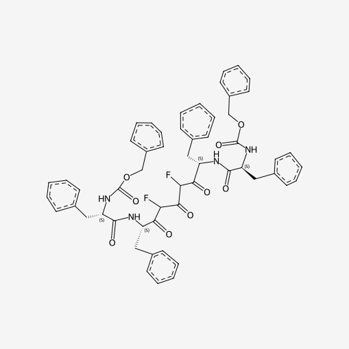 O=C(N[C@@H](Cc1ccccc1)C(=O)N[C@@H](Cc1ccccc1)C(=O)C(F)C(=O)C(F)C(=O)[C@H](Cc1ccccc1)NC(=O)[C@H](Cc1ccccc1)NC(=O)OCc1ccccc1)OCc1ccccc1